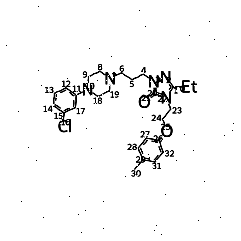 CCc1nn(CCCN2CCN(c3cccc(Cl)c3)CC2)c(=O)n1CCOc1ccc(C)cc1